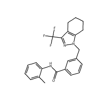 Cc1ccccc1NC(=O)c1cccc(Cn2nc(C(F)(F)F)c3c2CCCC3)c1